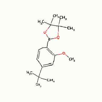 COc1cc(C(C)(C)C)ccc1B1OC(C)(C)C(C)(C)O1